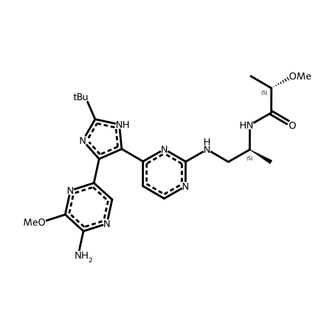 COc1nc(-c2nc(C(C)(C)C)[nH]c2-c2ccnc(NC[C@H](C)NC(=O)[C@H](C)OC)n2)cnc1N